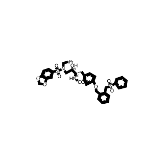 CC(C)CN(C[C@@H](O)[C@H](Cc1ccc(OCc2ccccc2CS(=O)(=O)c2ccccc2)cc1)NC(=O)O)S(=O)(=O)c1ccc2c(c1)OCO2